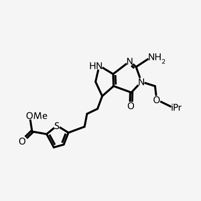 COC(=O)c1ccc(CCCC2CNc3nc(N)n(COC(C)C)c(=O)c32)s1